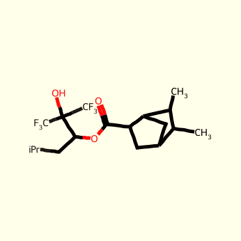 CC(C)CC(OC(=O)C1CC2CC1C(C)C2C)C(O)(C(F)(F)F)C(F)(F)F